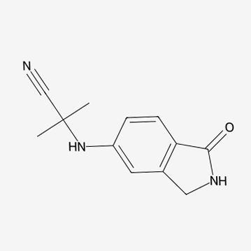 CC(C)(C#N)Nc1ccc2c(c1)CNC2=O